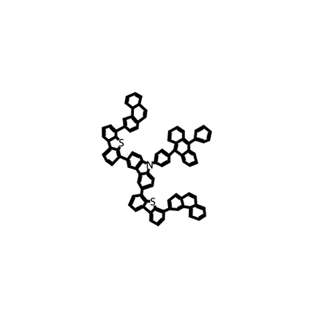 C1=CC2C=Cc3ccc(C4=CC=CC5c6cccc(-c7ccc8c(c7)c7cc(-c9cccc%10c9sc9c(-c%11ccc%12ccc%13ccccc%13c%12c%11)cccc9%10)ccc7n8-c7ccc(-c8c9ccccc9c(-c9ccccc9)c9ccccc89)cc7)c6SC45)cc3C2C=C1